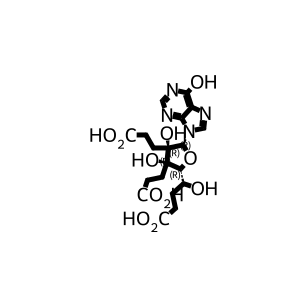 O=C(O)CCC(O)[C@H]1O[C@@H](n2cnc3c(O)ncnc32)[C@@](O)(CCC(=O)O)[C@@]1(O)CCC(=O)O